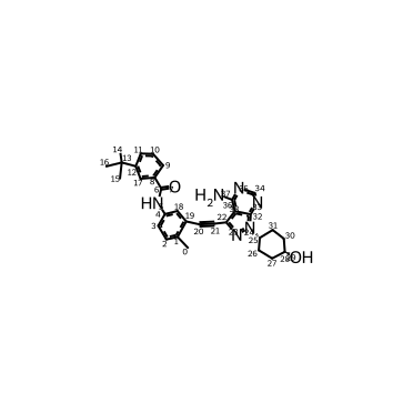 Cc1ccc(NC(=O)c2cccc(C(C)(C)C)c2)cc1C#Cc1nn([C@H]2CC[C@H](O)CC2)c2ncnc(N)c12